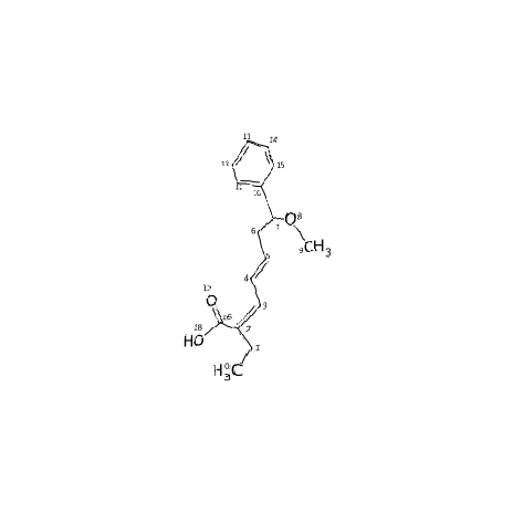 CCC(=CC=CCC(OC)c1ccccc1)C(=O)O